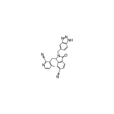 Cc1ccnc(C#N)c1CC1c2cc(C#N)ccc2C(=O)N1Cc1ccc2[nH]nnc2c1